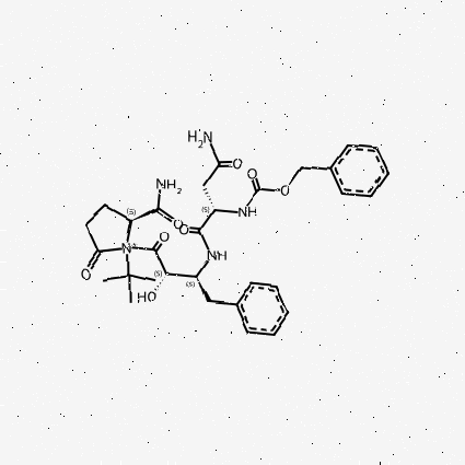 CC(C)(C)[N+]1(C(=O)[C@@H](O)[C@H](Cc2ccccc2)NC(=O)[C@H](CC(N)=O)NC(=O)OCc2ccccc2)C(=O)CC[C@H]1C(N)=O